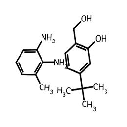 CC(C)(C)c1ccc(CO)c(O)c1.Cc1cccc(N)c1N